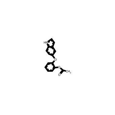 CC(=O)Oc1ccccc1Oc1ccc2[nH]ccc2c1